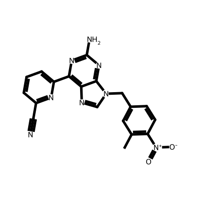 Cc1cc(Cn2cnc3c(-c4cccc(C#N)n4)nc(N)nc32)ccc1[N+](=O)[O-]